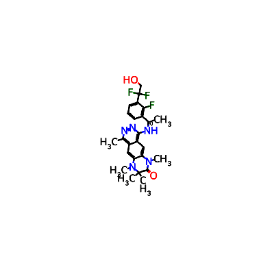 Cc1nnc(N[C@H](C)c2cccc(C(F)(F)CO)c2F)c2cc3c(cc12)N(C)C(C)(C)C(=O)N3C